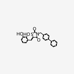 O=C1SC(=Cc2cccc(O)c2O)C(=O)N1Cc1ccc(-c2ccccc2)cc1